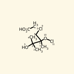 CC(=O)O.CC(C)(O)C(C)(CCl)OCl